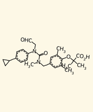 Cc1cc(CN(C)C(=O)N(CC=O)c2ccc(C3CC3)cc2)cc(C)c1OC(C)(C)C(=O)O